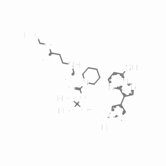 CCOC(=O)CCNC(=O)[C@@H]1CC[C@H](c2cc(N)n3ncc(-c4cnn(C)c4)c3n2)CN1C(=O)OC(C)(C)C